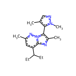 CCC(CC)c1cc(C)nn2c(-c3c(C)cnn3C)c(C)nc12